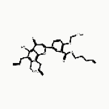 C=CCCCOC(=O)c1cc(-c2cc(=O)c3c(O)c(CC=C)c(CC(=O)OCC)c(CC=C)c3o2)ccc1OCOC